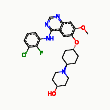 COc1cc2ncnc(Nc3cccc(Cl)c3F)c2cc1O[C@H]1CC[C@H](N2CCC(O)CC2)CC1